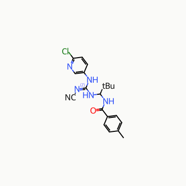 Cc1ccc(C(=O)NC(N/C(=N\C#N)Nc2ccc(Cl)nc2)C(C)(C)C)cc1